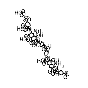 Nc1c(/N=N/c2ccc([N+](=O)[O-])cc2)c(S(=O)(=O)O)cc2cc(S(=O)(=O)O)c(/N=N/c3ccc(S(=O)(=O)Nc4ccc(/N=N/c5c(S(=O)(=O)O)cc6c(S(=O)(=O)O)cc(/N=N/c7ccc(S(=O)(=O)CCOS(=O)(=O)O)cc7S(=O)(=O)O)c(N)c6c5O)cc4)cc3)c(O)c12